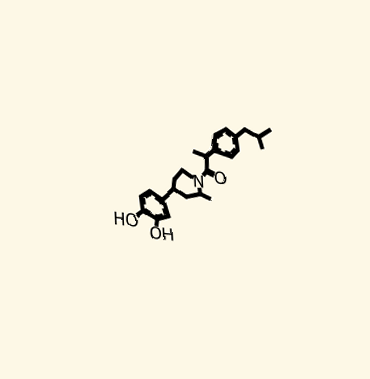 CC(C)Cc1ccc(C(C)C(=O)N2CCC(c3ccc(O)c(O)c3)CC2C)cc1